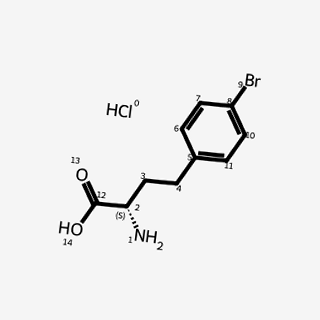 Cl.N[C@@H](CCc1ccc(Br)cc1)C(=O)O